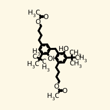 CC(=O)OCCCCc1cc(Cc2cc(CCCCOC(C)=O)cc(C(C)(C)C)c2O)c(O)c(C(C)(C)C)c1